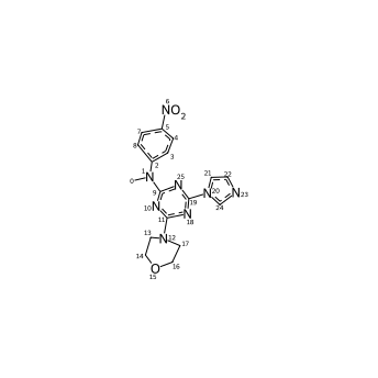 CN(c1ccc([N+](=O)[O-])cc1)c1nc(N2CCOCC2)nc(-n2ccnc2)n1